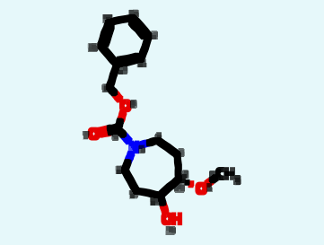 CO[C@H]1CCN(C(=O)OCc2ccccc2)CCC1O